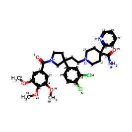 COc1cc(C(=O)N2CCC(CCN3CCC(C(N)=O)(c4ccccn4)CC3)(c3ccc(Cl)c(Cl)c3)C2)cc(OC)c1OC